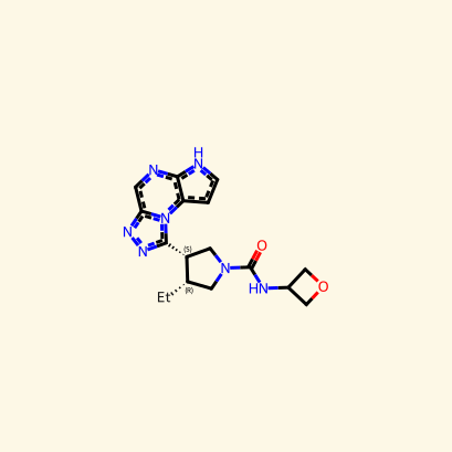 CC[C@H]1CN(C(=O)NC2COC2)C[C@H]1c1nnc2cnc3[nH]ccc3n12